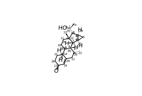 C[C@H](O)[C@@H]1[C@H]2C[C@H]2[C@@H]2[C@H]3[C@H](CC[C@@]21C)[C@H]1CCC(=O)C=C1C[C@H]3C